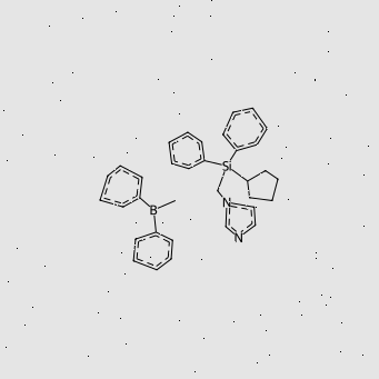 CB(c1ccccc1)c1ccccc1.c1ccc([Si](Cn2ccnc2)(c2ccccc2)C2CCCC2)cc1